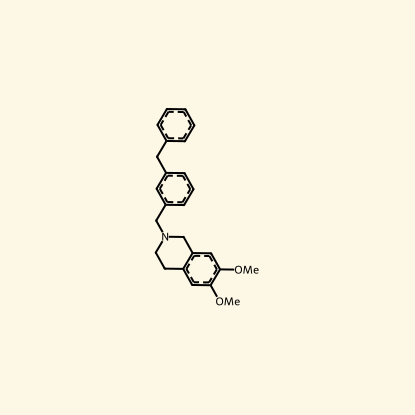 COc1cc2c(cc1OC)CN(Cc1cccc(Cc3ccccc3)c1)CC2